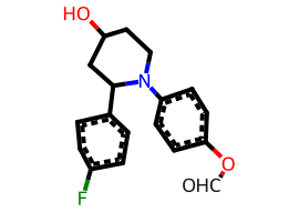 O=COc1ccc(N2CCC(O)CC2c2ccc(F)cc2)cc1